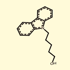 OCCCCCn1c2ccccc2c2ccccc21